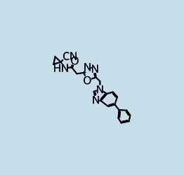 N#CC1(NC(=O)Cc2nnc(Cn3cnc4cc(-c5ccccc5)ccc43)o2)CC1